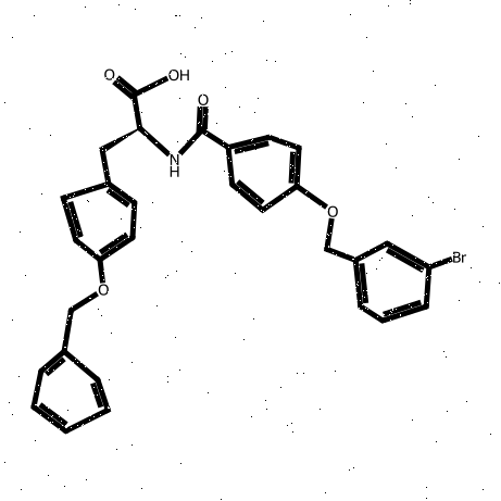 O=C(N[C@@H](Cc1ccc(OCc2ccccc2)cc1)C(=O)O)c1ccc(OCc2cccc(Br)c2)cc1